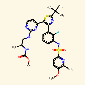 COC(=O)N[C@@H](C)CNc1nccc(-c2sc(C(C)(C)C)nc2-c2cccc(NS(=O)(=O)c3ccc(OC)c(C)n3)c2F)n1